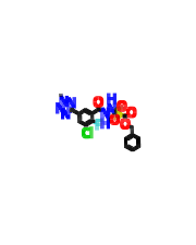 Cn1nnc(-c2cc(Cl)c(F)c(C(=O)NNS(=O)(=O)C(=O)OCc3ccccc3)c2)n1